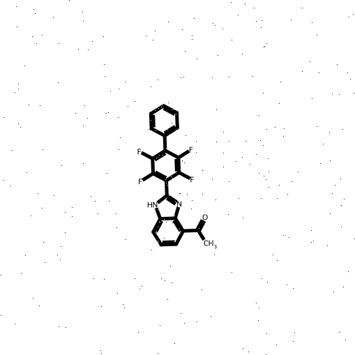 CC(=O)c1cccc2[nH]c(-c3c(F)c(F)c(-c4ccccc4)c(F)c3F)nc12